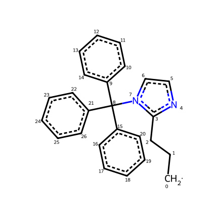 [CH2]CCc1nccn1C(c1ccccc1)(c1ccccc1)c1ccccc1